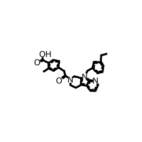 CCc1cccc(Cn2c3c(c4cccnc42)CCN(C(=O)Cc2ccc(C(=O)O)c(C)c2)C3)c1